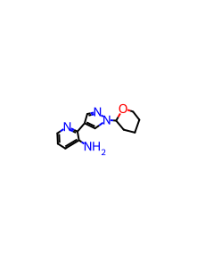 Nc1cccnc1-c1cnn(C2CCCCO2)c1